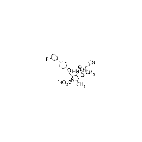 C[C@@H]1C[C@H](NS(=O)(=O)N(C)CCC#N)[C@H](CO[C@H]2CC[C@@H](c3cccc(F)c3)CC2)N1C(=O)O